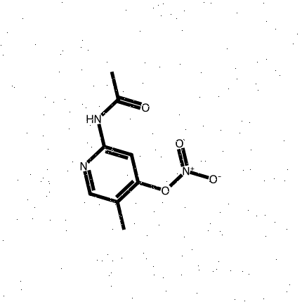 CC(=O)Nc1cc(O[N+](=O)[O-])c(C)cn1